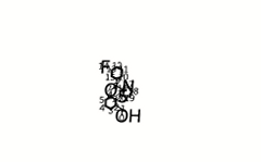 OCc1cccc(OC(c2cccc(F)c2)c2nccs2)c1